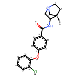 O=C(NC1CN2CC[C@H]1C2)c1ccc(Oc2ccccc2Cl)cc1